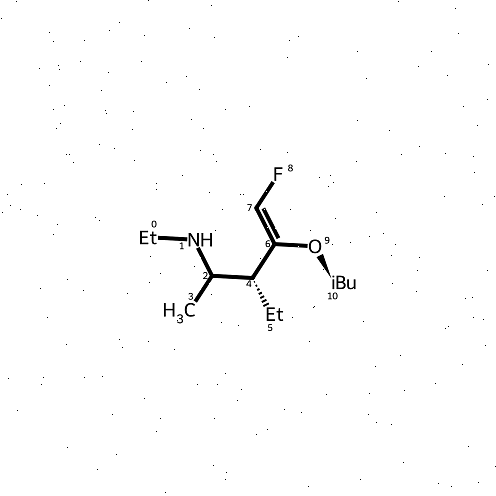 CCNC(C)[C@@H](CC)/C(=C/F)O[C@H](C)CC